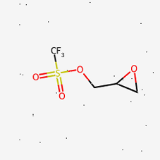 O=S(=O)(OCC1CO1)C(F)(F)F